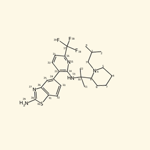 CC(C)CN1CCCCC1C(C)(C)Nc1nc(C(F)(F)F)ccc1-c1[c]c2nc(N)sc2cc1